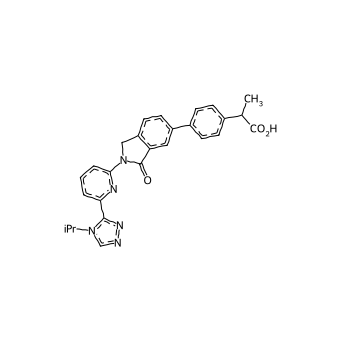 CC(C(=O)O)c1ccc(-c2ccc3c(c2)C(=O)N(c2cccc(-c4nncn4C(C)C)n2)C3)cc1